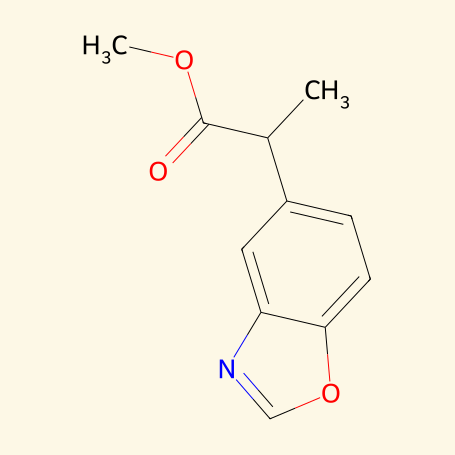 COC(=O)C(C)c1ccc2ocnc2c1